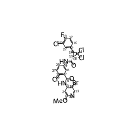 COc1cc(NC(=O)c2cc(NC(=O)[C@@H]3[C@@H](c4ccc(F)c(Cl)c4)C3(Cl)Cl)ccc2Cl)c(Br)cn1